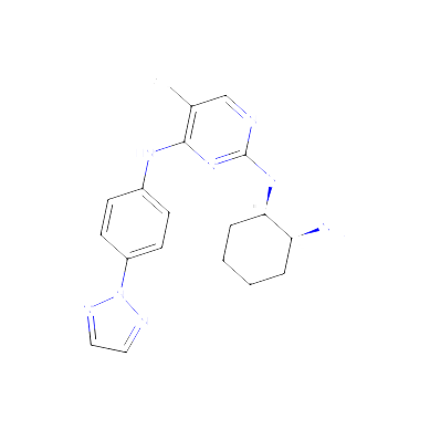 CC(=O)c1cnc(N[C@@H]2CCCC[C@@H]2N)nc1Nc1ccc(-n2nccn2)cc1